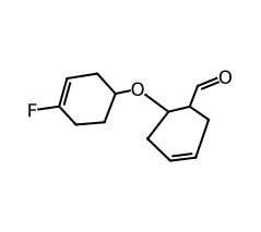 O=CC1CC=CCC1OC1CC=C(F)CC1